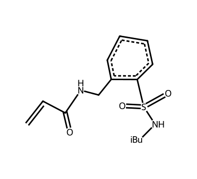 C=CC(=O)NCc1ccccc1S(=O)(=O)NC(C)CC